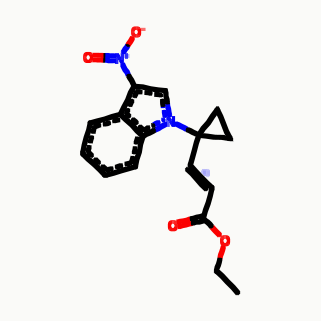 CCOC(=O)/C=C/C1(n2cc([N+](=O)[O-])c3ccccc32)CC1